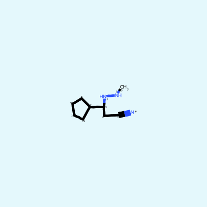 CNNC(CC#N)C1CCCC1